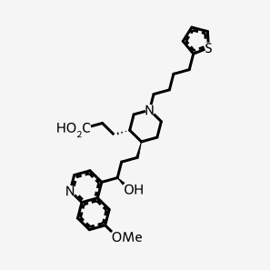 COc1ccc2nccc([C@H](O)CC[C@@H]3CCN(CCCCc4cccs4)C[C@H]3CCC(=O)O)c2c1